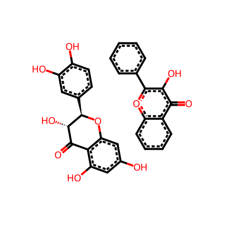 O=C1c2c(O)cc(O)cc2O[C@H](c2ccc(O)c(O)c2)[C@H]1O.O=c1c(O)c(-c2ccccc2)oc2ccccc12